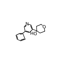 OC1(c2cncc(-c3ccccc3)c2)CCOCC1